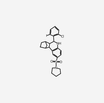 O=S(=O)(c1ccc2c(c1)C1C3CCC(C3)C1C(c1c(Cl)cccc1I)N2)N1CCCCC1